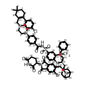 CC1(C)CCC(c2ccc(Cl)cc2)=C(CN2CCN(c3ccc(C(=O)NS(=O)(=O)c4ccc(N[C@H](CCN5C6CC5CN(Cc5cc7c(cc5Br)C(=O)N(C5CCC(=O)NC5=O)C7=O)C6)CSc5ccccc5)c(S(=O)(=O)C(F)(F)F)c4)cc3)CC2)C1